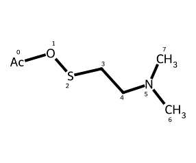 CC(=O)OSCCN(C)C